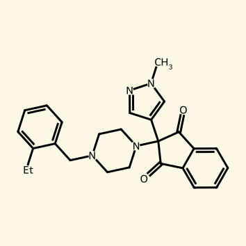 CCc1ccccc1CN1CCN(C2(c3cnn(C)c3)C(=O)c3ccccc3C2=O)CC1